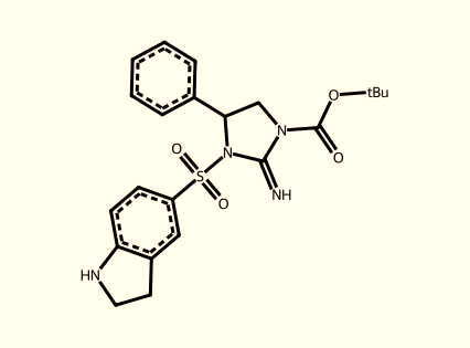 CC(C)(C)OC(=O)N1CC(c2ccccc2)N(S(=O)(=O)c2ccc3c(c2)CCN3)C1=N